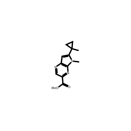 COC(=O)c1cnc2cc(C3(C)CC3)n(C)c2n1